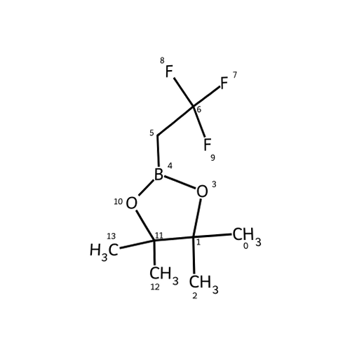 CC1(C)OB(CC(F)(F)F)OC1(C)C